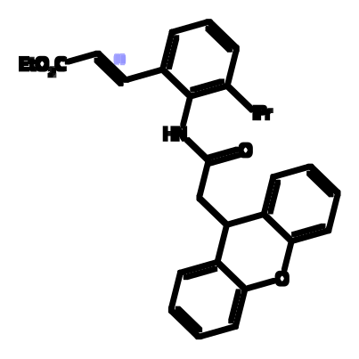 CCOC(=O)/C=C/c1cccc(C(C)C)c1NC(=O)CC1c2ccccc2Oc2ccccc21